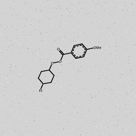 CCC1CC[C](OOC(=O)c2ccc(OC)cc2)CC1